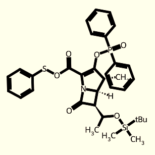 CC(O[Si](C)(C)C(C)(C)C)[C@H]1C(=O)N2C(C(=O)OSc3ccccc3)=C(OP(=O)(c3ccccc3)c3ccccc3)[C@H](C)[C@@H]12